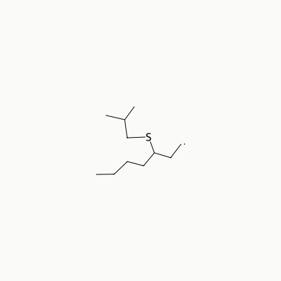 [CH2]CC(CCCC)SCC(C)C